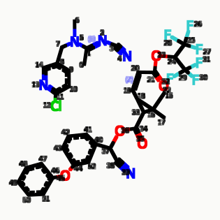 C/C(=N\C#N)N(C)Cc1ccc(Cl)nc1.CC1(C)C(/C=C\C(=O)OC(C(F)(F)F)C(F)(F)F)C1C(=O)OC(C#N)c1cccc(Oc2ccccc2)c1